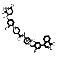 COc1cc(-c2cn(C)c(=O)c3ccccc23)cc(F)c1CN1CCC(N(C)C(=O)C2CCN(c3ccc(NC4CCC(=O)NC4=O)cc3Cl)CC2)CC1